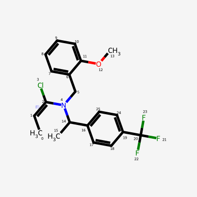 C/C=C(/Cl)N(Cc1ccccc1OC)C(C)c1ccc(C(F)(F)F)cc1